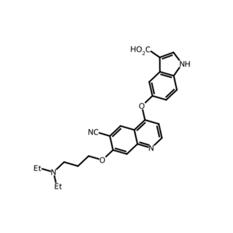 CCN(CC)CCCOc1cc2nccc(Oc3ccc4[nH]cc(C(=O)O)c4c3)c2cc1C#N